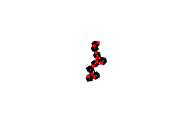 c1ccc(N(c2ccc(-c3cccc(-n4c5ccccc5c5ccccc54)c3)cc2)c2ccc(-c3ccc4ccccc4c3)cc2)cc1